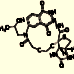 CC(O)CN1C(=O)CCCC[C@@]2(SC[C@@H]3NC(=O)N[C@@H]32)C(=O)Nn2[nH]c(=O)c3ccc1cc3c2=O